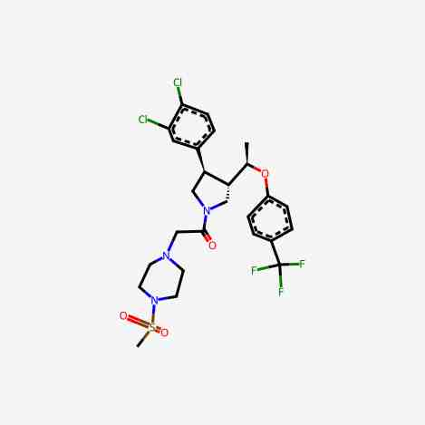 C[C@@H](Oc1ccc(C(F)(F)F)cc1)[C@@H]1CN(C(=O)CN2CCN(S(C)(=O)=O)CC2)C[C@H]1c1ccc(Cl)c(Cl)c1